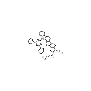 C=C/C=C\c1sc2c(ccc3c4ccc5c6ccccc6n(-c6nc(-c7ccccc7)cc(-c7ccccc7)n6)c5c4ccc32)c1C